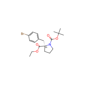 CCOC(=O)[C@]1(Cc2ccc(Br)cc2)CCCN1C(=O)OC(C)(C)C